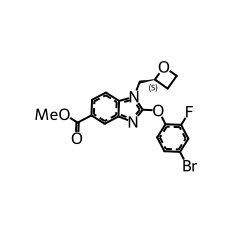 COC(=O)c1ccc2c(c1)nc(Oc1ccc(Br)cc1F)n2C[C@@H]1CCO1